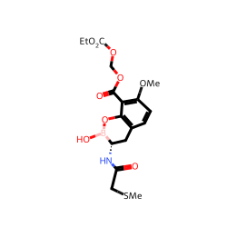 CCOC(=O)OCOC(=O)c1c(OC)ccc2c1OB(O)[C@@H](NC(=O)CSC)C2